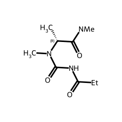 CCC(=O)NC(=O)N(C)[C@H](C)C(=O)NC